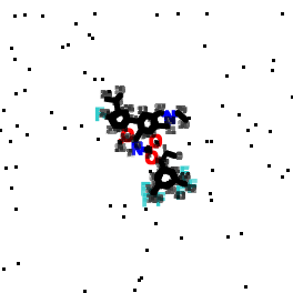 CC[C@H](OC(=O)N(C)Cc1cc2c(cc1-c1cc(C(C)C)c(F)cc1OC)CN(CC)C2)c1cc(C(F)(F)F)cc(C(F)(F)F)c1